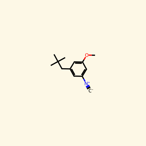 [C-]#[N+]c1cc(CC(C)(C)C)cc(OC)c1